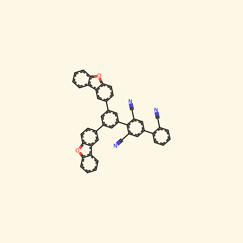 N#Cc1ccccc1-c1cc(C#N)c(-c2cc(-c3ccc4oc5ccccc5c4c3)cc(-c3ccc4oc5ccccc5c4c3)c2)c(C#N)c1